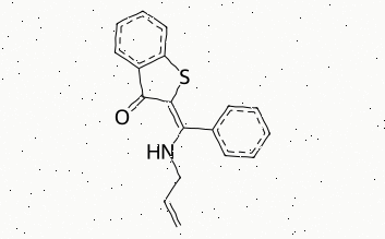 C=CCN/C(=C1/Sc2ccccc2C1=O)c1ccccc1